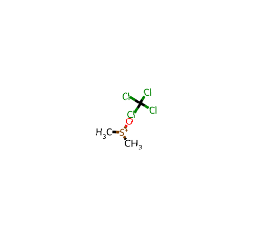 C[S+](C)[O-].ClC(Cl)(Cl)Cl